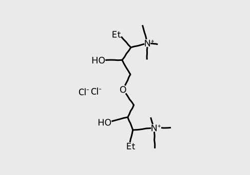 CCC(C(O)COCC(O)C(CC)[N+](C)(C)C)[N+](C)(C)C.[Cl-].[Cl-]